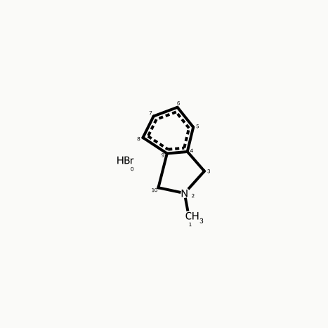 Br.CN1Cc2ccccc2C1